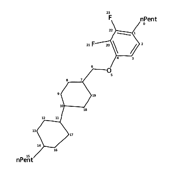 CCCCCc1ccc(OCC2CCC(C3CCC(CCCCC)CC3)CC2)c(F)c1F